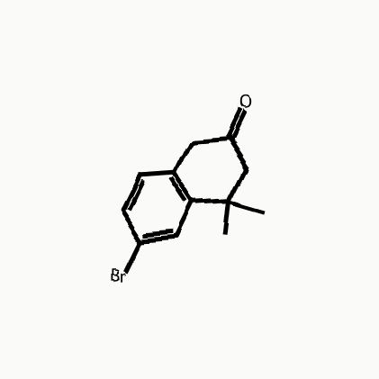 CC1(C)CC(=O)Cc2ccc(Br)cc21